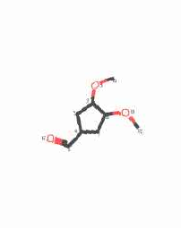 COC1CC([C]=O)CC1OC